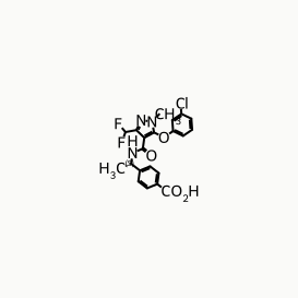 C[C@H](NC(=O)c1c(C(F)F)nn(C)c1Oc1cccc(Cl)c1)c1ccc(C(=O)O)cc1